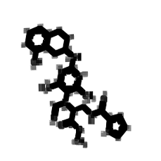 COC(=O)[C@H](CNC(=O)c1cccs1)N(C=O)c1c(C)nc(NC2CCc3cccc(O)c3C2)nc1C